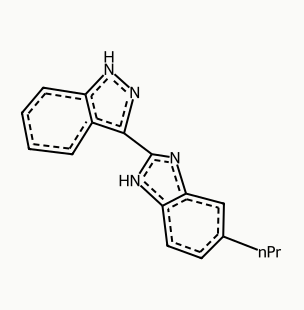 CCCc1ccc2[nH]c(-c3n[nH]c4ccccc34)nc2c1